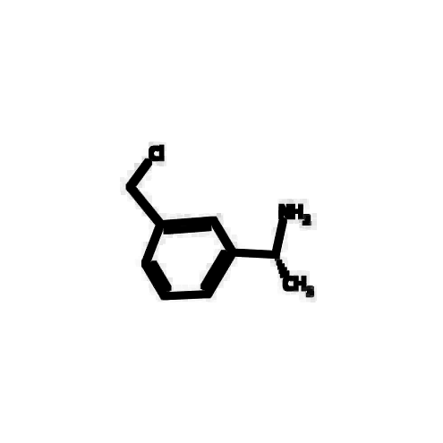 C[C@@H](N)c1cccc(CCl)c1